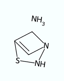 C1=C2CN1NS2.N